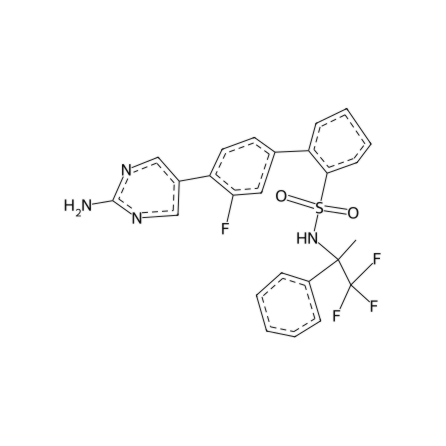 CC(NS(=O)(=O)c1ccccc1-c1ccc(-c2cnc(N)nc2)c(F)c1)(c1ccccc1)C(F)(F)F